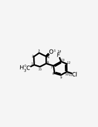 CC1CCC(=O)C(c2ccc(Cl)cc2F)C1